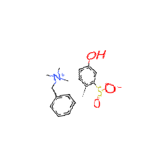 C[N+](C)(C)Cc1ccccc1.Cc1ccc(O)cc1S(=O)[O-]